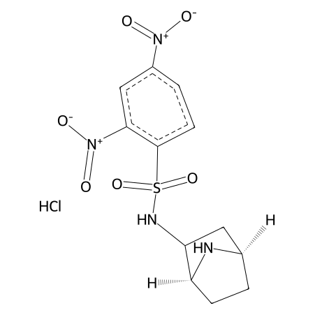 Cl.O=[N+]([O-])c1ccc(S(=O)(=O)NC2C[C@H]3CC[C@@H]2N3)c([N+](=O)[O-])c1